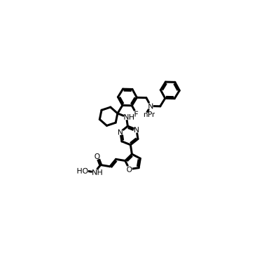 CCCN(Cc1ccccc1)Cc1cccc(C2(Nc3ncc(-c4ccoc4C=CC(=O)NO)cn3)CCCCC2)c1F